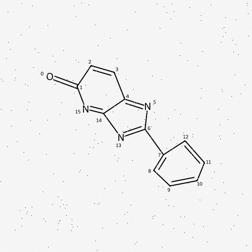 O=C1C=CC2=NC(c3ccccc3)=NC2=N1